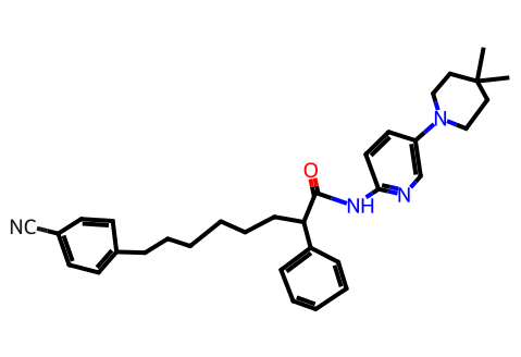 CC1(C)CCN(c2ccc(NC(=O)C(CCCCCCc3ccc(C#N)cc3)c3ccccc3)nc2)CC1